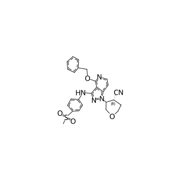 CS(=O)(=O)c1ccc(Nc2nn(C3COCC[C@H]3C#N)c3ccnc(OCc4ccccc4)c23)cc1